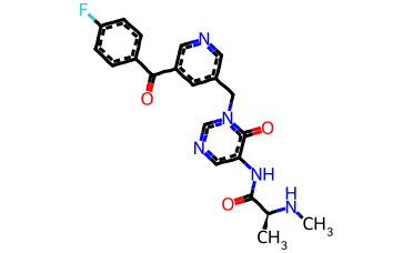 CN[C@@H](C)C(=O)Nc1cncn(Cc2cncc(C(=O)c3ccc(F)cc3)c2)c1=O